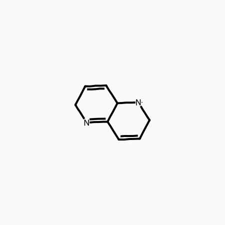 C1=CC2=NCC=CC2[N]C1